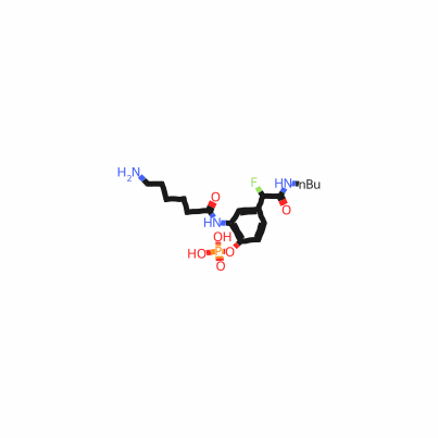 CCCCNC(=O)C(F)c1ccc(OP(=O)(O)O)c(NC(=O)CCCCCN)c1